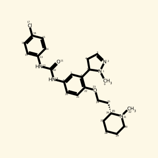 CN1N=CCC1c1cc(NC(=O)Nc2ccc(Cl)cc2)ccc1OCC[C@H]1CCCCN1C